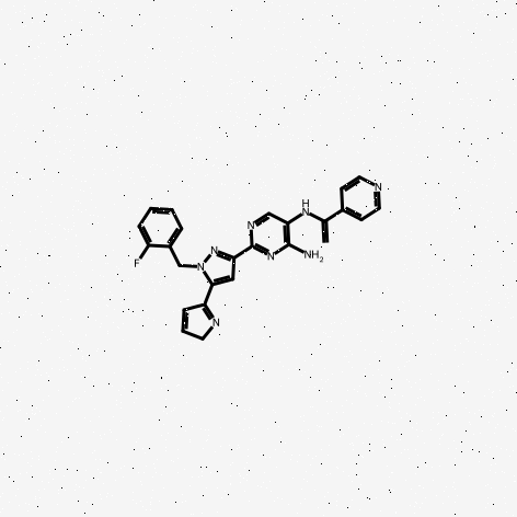 C=C(Nc1cnc(-c2cc(C3=NCC=C3)n(Cc3ccccc3F)n2)nc1N)c1ccncc1